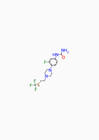 NC(=O)Nc1ccc(N2CCN(CCSC(F)(F)F)CC2)c(F)c1